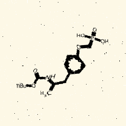 CCCCOC(=O)NC(C)Cc1ccc(OCP(=O)(O)O)cc1